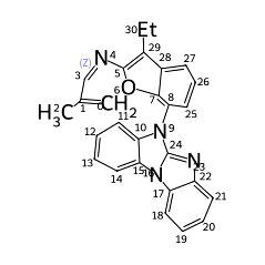 C=C(C)/C=N\c1oc2c(-n3c4ccccc4n4c5ccccc5nc34)cccc2c1CC